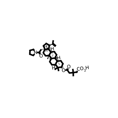 C=C(C)[C@@H]1CC[C@]2(CC(=O)N3CCCC3)CC[C@]3(C)[C@H](CC[C@@H]4[C@@]5(C)CC[C@H](OC(=O)CC(C)(C)CC(=O)O)C(C)(C)[C@@H]5CC[C@]43C)[C@@H]12